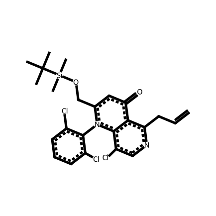 C=CCc1ncc(Cl)c2c1c(=O)cc(CO[Si](C)(C)C(C)(C)C)n2-c1c(Cl)cccc1Cl